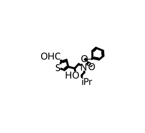 CC(C)CCN(CC(O)c1csc(C=O)c1)S(=O)(=O)c1ccccc1